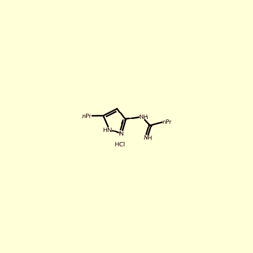 CCCC(=N)Nc1cc(CCC)[nH]n1.Cl